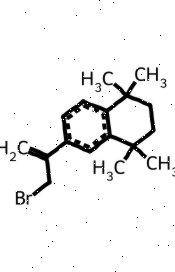 C=C(CBr)c1ccc2c(c1)C(C)(C)CCC2(C)C